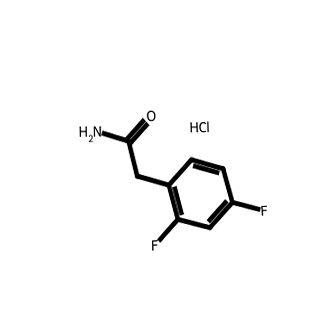 Cl.NC(=O)Cc1ccc(F)cc1F